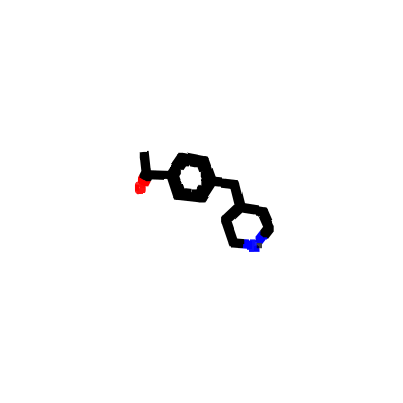 CC(=O)c1ccc(CC2CC[N]CC2)cc1